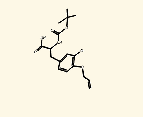 C=CCOc1ccc(CC(NC(=O)OC(C)(C)C)C(=O)O)cc1Cl